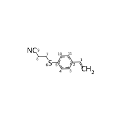 C=Cc1ccc(SCCC#N)cc1